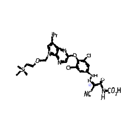 CC(C)c1cn(COCC[Si](C)(C)C)c2ncc(Oc3c(Cl)cc(N/N=C(/C#N)C(=O)NC(=O)O)cc3Cl)nc12